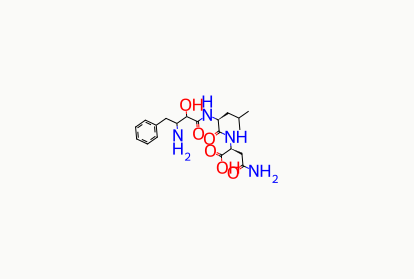 CC(C)C[C@H](NC(=O)C(O)C(N)Cc1ccccc1)C(=O)N[C@@H](CC(N)=O)C(=O)O